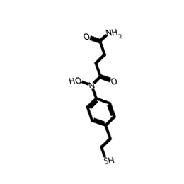 NC(=O)CCC(=O)N(O)c1ccc(CCS)cc1